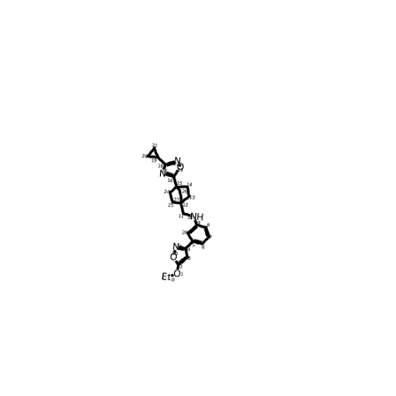 CCOc1cc(-c2cccc(NCC34CCC(c5nc(C6CC6)no5)(CC3)CC4)c2)no1